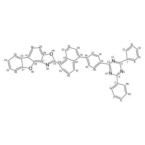 c1ccc(-c2nc(-c3ccccc3)nc(-c3ccc(-c4cccc5c(-c6nc7c(ccc8c9ccccc9oc87)o6)cccc45)cc3)n2)cc1